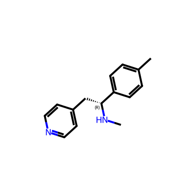 CN[C@H](Cc1ccncc1)c1ccc(C)cc1